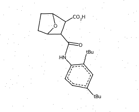 CC(C)(C)c1ccc(NC(=O)C2C3CCC(O3)C2C(=O)O)c(C(C)(C)C)c1